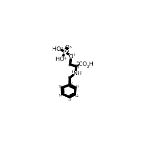 O=C(O)[C@H](COP(=O)(O)O)NCc1ccccc1